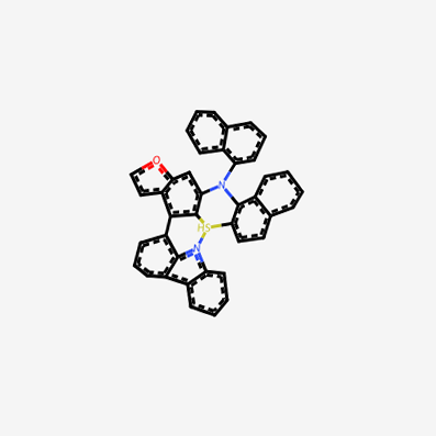 c1ccc2c(N3c4cc5occc5c5c4[SH](c4ccc6ccccc6c43)n3c4ccccc4c4cccc-5c43)cccc2c1